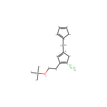 C[Si](C)(C)OCCC1=CC[C]([Zr+2][C]2=CC=CC2)=C1.[Cl-].[Cl-]